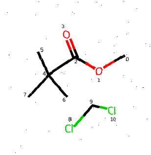 COC(=O)C(C)(C)C.ClCCl